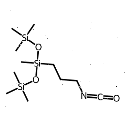 C[Si](C)(C)O[Si](C)(CCCN=C=O)O[Si](C)(C)C